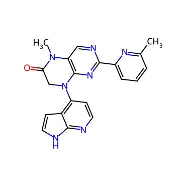 Cc1cccc(-c2ncc3c(n2)N(c2ccnc4[nH]ccc24)CC(=O)N3C)n1